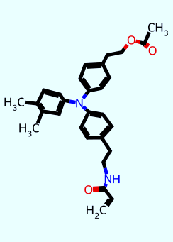 C=CC(=O)NCCc1ccc(N(c2ccc(CCOC(C)=O)cc2)c2ccc(C)c(C)c2)cc1